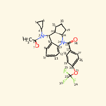 CC(=O)N(C1CC1)C1c2ccccc2N(C(=O)c2ccc(OC(F)(F)F)cc2)C2CCCC21